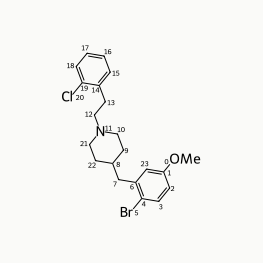 COc1ccc(Br)c(CC2CCN(CCc3ccccc3Cl)CC2)c1